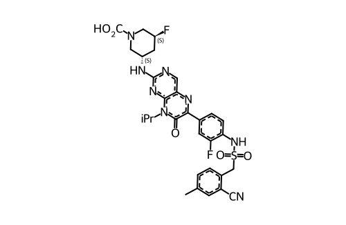 Cc1ccc(CS(=O)(=O)Nc2ccc(-c3nc4cnc(N[C@H]5C[C@H](F)CN(C(=O)O)C5)nc4n(C(C)C)c3=O)cc2F)c(C#N)c1